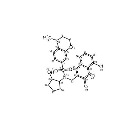 CN1CCOc2cc(S(=O)(=O)N(Cc3cc4cccc(Cl)c4[nH]c3=O)C3CCCC3O)ccc21